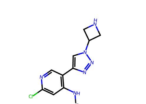 CC(C)Nc1cc(Cl)ncc1-c1cn(C2CNC2)nn1